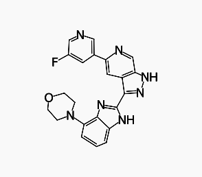 Fc1cncc(-c2cc3c(-c4nc5c(N6CCOCC6)cccc5[nH]4)n[nH]c3cn2)c1